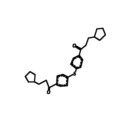 O=C(CCC1CCCC1)c1ccc(Sc2ccc(C(=O)CCC3CCCC3)cc2)cc1